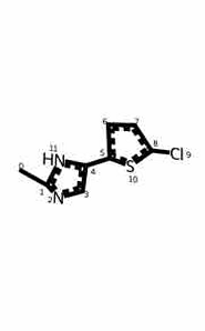 Cc1ncc(-c2ccc(Cl)s2)[nH]1